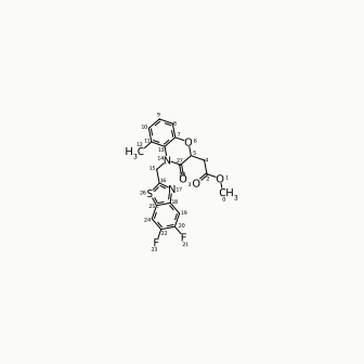 COC(=O)CC1Oc2cccc(C)c2N(Cc2nc3cc(F)c(F)cc3s2)C1=O